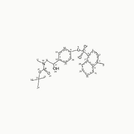 Cc1ccc(S(=O)(=O)Oc2ccc(C(O)CN(C)C(=O)OC(C)(C)C)cc2)c2ccccc12